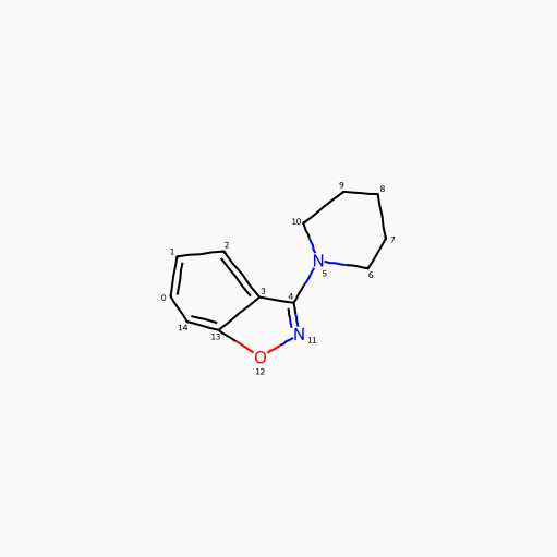 c1ccc2c(N3CCCCC3)noc2c1